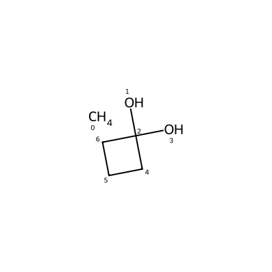 C.OC1(O)CCC1